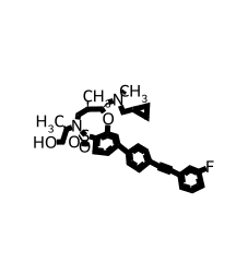 C[C@H]1CN([C@@H](C)CO)S(=O)(=O)c2ccc(-c3ccc(C#Cc4cccc(F)c4)cc3)cc2O[C@H]1CN(C)CC1CC1